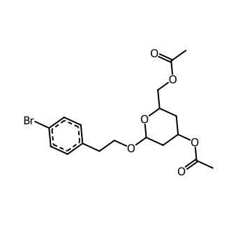 CC(=O)OCC1CC(OC(C)=O)CC(OCCc2ccc(Br)cc2)O1